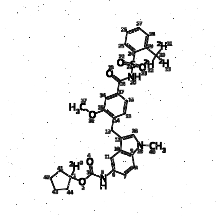 [2H]C1(OC(=O)Nc2ccc3c(c2)c(Cc2ccc(C(=O)NS(=O)(=O)c4ccccc4C([2H])([2H])[2H])cc2OC)cn3C)CCCC1